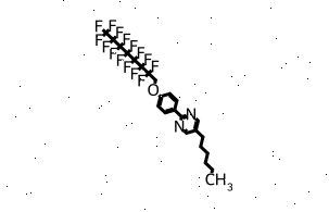 CCCCCCc1cnc(-c2ccc(OCC(F)(F)C(F)(F)C(F)(F)C(F)(F)C(F)(F)C(F)(F)C(F)(F)F)cc2)nc1